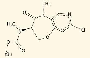 CN1C(=O)[C@H](N(C)C(=O)OC(C)(C)C)COc2cc(Cl)ncc21